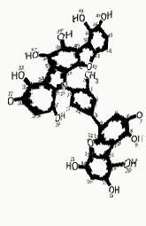 Cc1cc(-c2cc(O)c(O)c3c2oc2c(O)cc(O)c(O)c23)ccc1-n1c2c(O)cc(O)c(O)c2c2c(O)c(O)c3c(oc4ccc(O)c(O)c43)c21